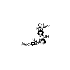 CO[C@H]1C[C@@H]2CN(c3nccc(Nc4cc5c(cn4)nc(C)n5C(C)C)n3)C[C@@H]2C1